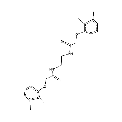 Cc1cccc(OCC(=S)NCCNC(=S)COc2cccc(C)c2C)c1C